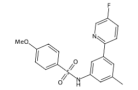 COc1ccc(S(=O)(=O)Nc2cc(C)cc(-c3ccc(F)cn3)c2)cc1